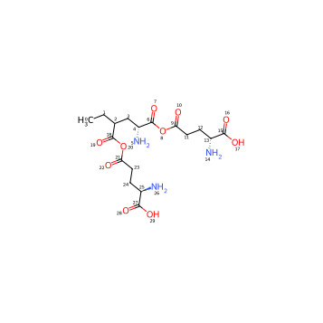 CCC(C[C@@H](N)C(=O)OC(=O)CC[C@@H](N)C(=O)O)C(=O)OC(=O)CC[C@@H](N)C(=O)O